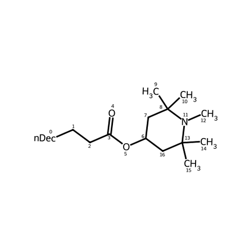 CCCCCCCCCCCCC(=O)OC1CC(C)(C)N(C)C(C)(C)C1